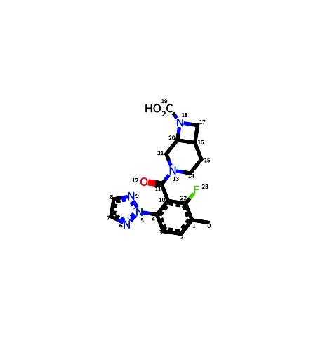 Cc1ccc(-n2nccn2)c(C(=O)N2CCC3CN(C(=O)O)C3C2)c1F